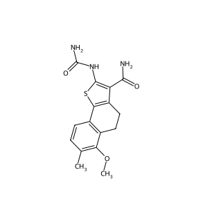 COc1c(C)ccc2c1CCc1c-2sc(NC(N)=O)c1C(N)=O